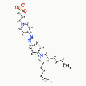 CCCCCCN(CCCCCC)c1ccc(/N=N/c2cc[n+](CCCS(=O)(=O)[O-])cc2)cc1